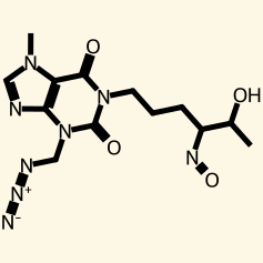 CC(O)C(CCCn1c(=O)c2c(ncn2C)n(CN=[N+]=[N-])c1=O)N=O